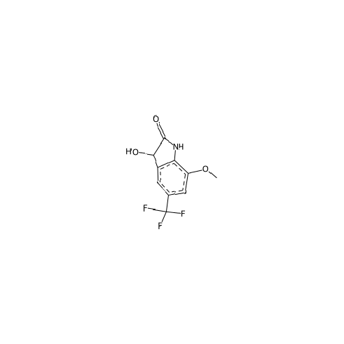 COc1cc(C(F)(F)F)cc2c1NC(=O)C2O